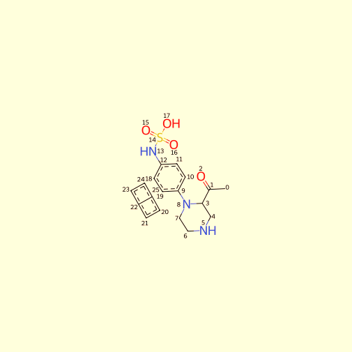 CC(=O)C1CNCCN1c1ccc(NS(=O)(=O)O)cc1.c1cc2ccc1-2